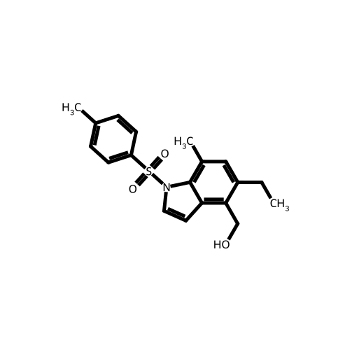 CCc1cc(C)c2c(ccn2S(=O)(=O)c2ccc(C)cc2)c1CO